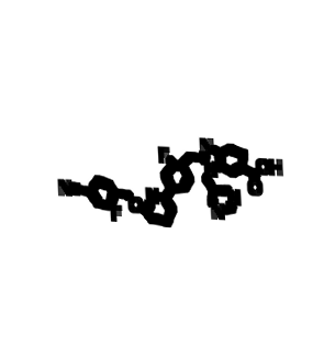 N#Cc1ccc(COc2cccc(-c3ccc(Cc4nc5ccc(C(=O)O)cc5n4Cc4cncnc4)c(F)c3)n2)c(F)c1